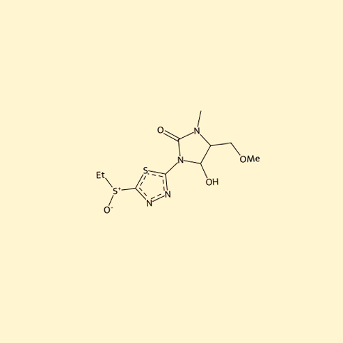 CC[S+]([O-])c1nnc(N2C(=O)N(C)C(COC)C2O)s1